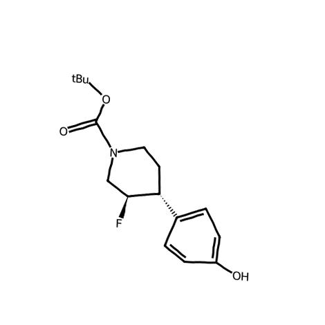 CC(C)(C)OC(=O)N1CC[C@H](c2ccc(O)cc2)[C@@H](F)C1